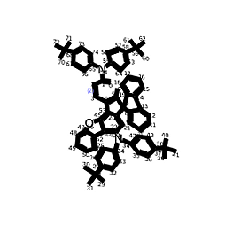 C=C(/C=C\C1=C(C)C2(c3ccccc3-c3ccccc32)c2cc(N(c3ccc(C(C)(C)C)cc3)c3ccc(C(C)(C)C)cc3)c3c(oc4ccccc43)c21)N(c1ccc(C(C)(C)C)cc1)c1ccc(C(C)(C)C)cc1